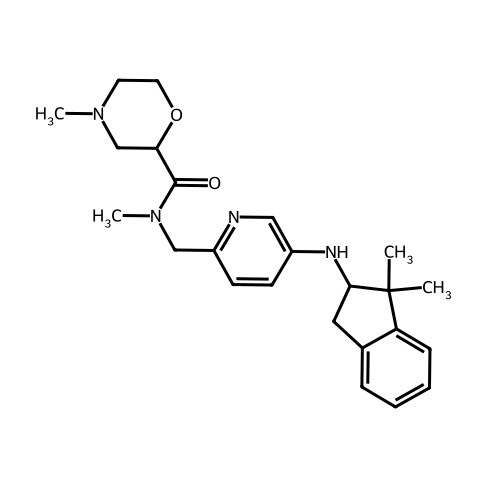 CN1CCOC(C(=O)N(C)Cc2ccc(NC3Cc4ccccc4C3(C)C)cn2)C1